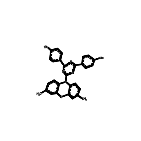 Cc1ccc2c(c1)Oc1cc(C)ccc1N2c1nc(-c2ccc(C(C)(C)C)cc2)nc(-c2ccc(C(C)(C)C)cc2)n1